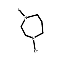 CCN1CCCN(I)CC1